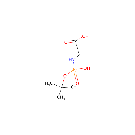 CC(C)(C)OP(=O)(O)NCC(=O)O